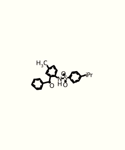 Cc1ccc(NS(=O)(=O)c2ccc(C(C)C)cc2)c(C(=O)c2ccccc2)c1